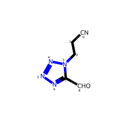 N#CCCn1nnnc1C=O